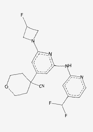 N#CC1(c2cc(Nc3cc(C(F)F)ccn3)nc(N3CC(F)C3)c2)CCOCC1